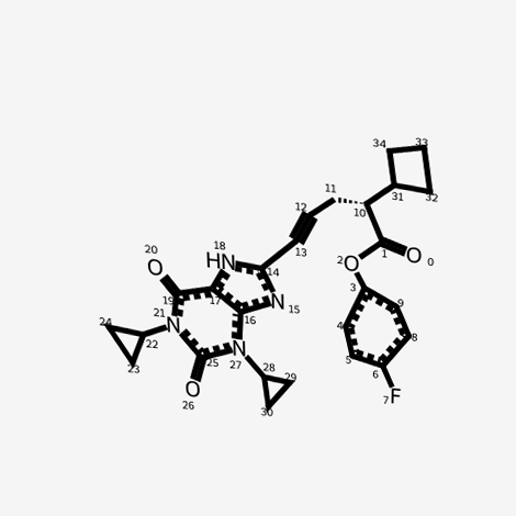 O=C(Oc1ccc(F)cc1)[C@H](CC#Cc1nc2c([nH]1)c(=O)n(C1CC1)c(=O)n2C1CC1)C1CCC1